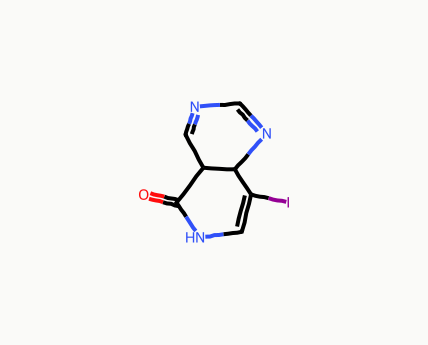 O=C1NC=C(I)C2N=CN=CC12